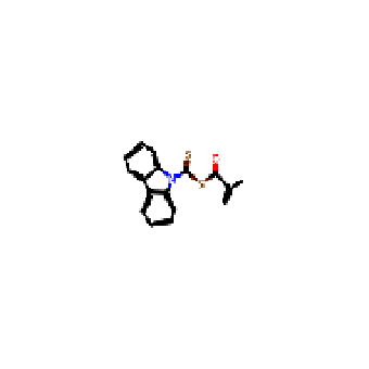 C=C(C)C(=O)SC(=S)n1c2ccccc2c2ccccc21